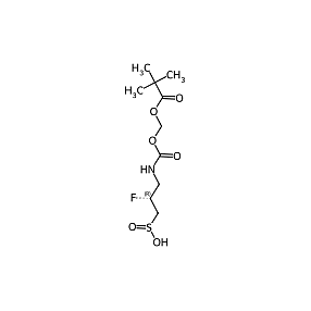 CC(C)(C)C(=O)OCOC(=O)NC[C@@H](F)CS(=O)O